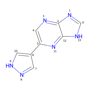 c1nc2ncc(-c3cn[nH]c3)nc2[nH]1